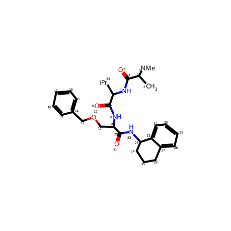 CNC(C)C(=O)NC(C(=O)NC(COCc1ccccc1)C(=O)NC1CCCc2ccccc21)C(C)C